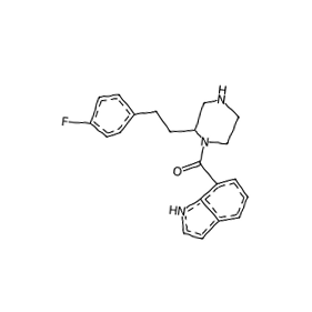 O=C(c1cccc2cc[nH]c12)N1CCNCC1CCc1ccc(F)cc1